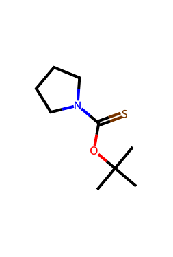 CC(C)(C)OC(=S)N1CCCC1